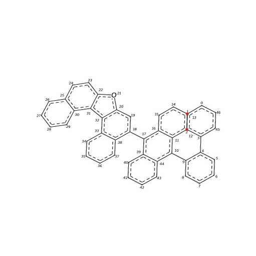 c1ccc(-c2ccccc2-c2c3ccccc3c(-c3cc4oc5ccc6ccccc6c5c4c4ccccc34)c3ccccc23)cc1